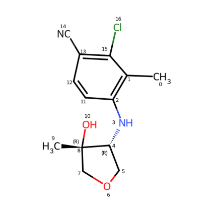 Cc1c(N[C@@H]2COC[C@]2(C)O)ccc(C#N)c1Cl